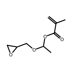 C=C(C)C(=O)OC(C)OCC1CO1